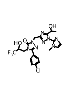 CC(O)c1nc(Cn2nc(-c3ccc(Cl)cc3)n(CC(O)C(F)(F)F)c2=O)nn1-c1nccn1C